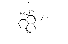 C=C1CCCN2C1=C(CC)C(CS(=O)(=O)O)=CC2(C)C